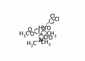 C=CC[N@@+]1(C)CC[C@@]2(c3cccc(OC(C)=O)c3)C[C@@H](NC(=O)Cc3ccc(Cl)c(Cl)c3)CCC2(OC(C)=O)C1